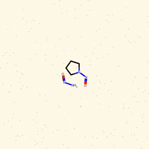 NN=O.O=NN1CCCC1